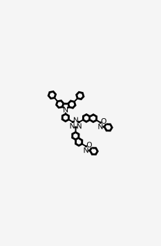 c1ccc(-c2ccc3c(c2)c2cc(-c4ccccc4)ccc2n3-c2cccc(-c3nc(-c4ccc5ccc(-c6nc7ccccc7o6)cc5c4)nc(-c4ccc5ccc(-c6nc7ccccc7o6)cc5c4)n3)c2)cc1